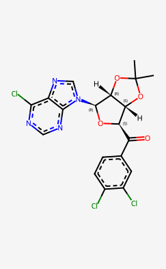 CC1(C)O[C@@H]2[C@H](O1)[C@@H](C(=O)c1ccc(Cl)c(Cl)c1)O[C@H]2n1cnc2c(Cl)ncnc21